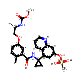 Cc1ccc(OC[C@H](C)NC(=O)OC(C)(C)C)cc1C(=O)NC1(c2cc(OS(=O)(=O)C(F)(F)F)cc3ncccc23)CC1